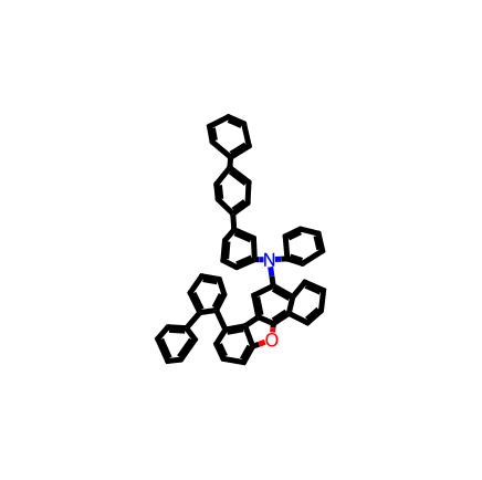 c1ccc(-c2ccc(-c3cccc(N(c4ccccc4)c4cc5c(oc6cccc(-c7ccccc7-c7ccccc7)c65)c5ccccc45)c3)cc2)cc1